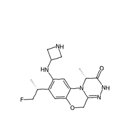 C[C@@H]1C(=O)NN=C2COc3cc([C@@H](C)CF)c(NC4CNC4)cc3N21